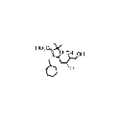 CC(C)[C@H](C[C@@H]1OC(C)(C)N(C(=O)O)[C@H]1CC1CCCCC1)C(O)CO